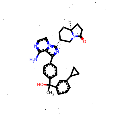 CC(O)(c1ccc(-c2nc([C@@H]3CC[C@H]4CCC(=O)N4C3)n3ccnc(N)c23)cc1)c1cccc(C2CC2)c1